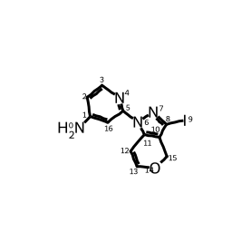 Nc1ccnc(-n2nc(I)c3c2C=COC3)c1